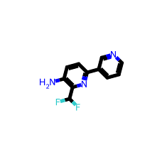 Nc1ccc(-c2cccnc2)nc1C(F)F